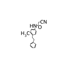 Cc1cc(NC(=O)CC#N)ccc1CCc1ccccc1